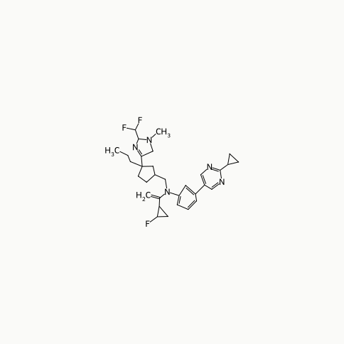 C=C(C1CC1F)N(CC1CCC(CCC)(C2=NC(C(F)F)N(C)C2)C1)c1cccc(-c2cnc(C3CC3)nc2)c1